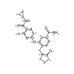 NC(=O)c1ccc(CN2CCCC2=O)c(Oc2ccc(C(=O)NC3CC3)c(F)c2)c1